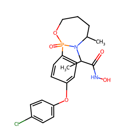 CC1CCCOP(=O)(c2ccc(Oc3ccc(Cl)cc3)cc2)N1C(C)C(=O)NO